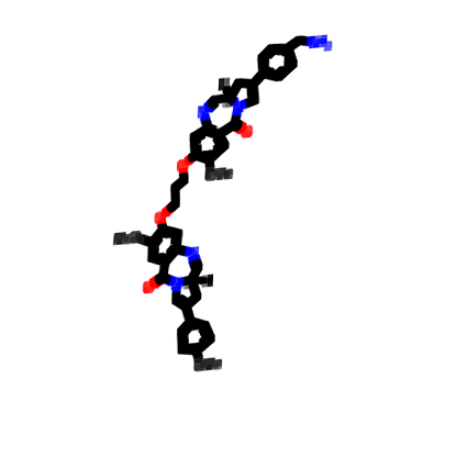 COc1ccc(C2=CN3C(=O)c4cc(OC)c(OCCCOc5cc6c(cc5OC)C(=O)N5C=C(c7ccc(CN)cc7)C[C@H]5C=N6)cc4N=C[C@@H]3C2)cc1